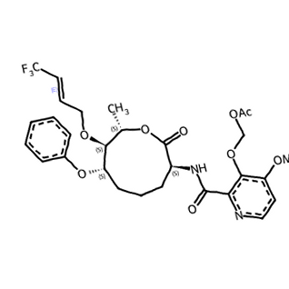 COc1ccnc(C(=O)N[C@H]2CCC[C@H](Oc3ccccc3)[C@@H](OC/C=C/C(F)(F)F)[C@H](C)OC2=O)c1OCOC(C)=O